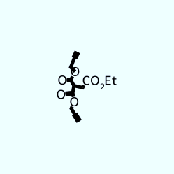 C#CCOC(=O)C(CC(=O)OCC)C(=O)OCC#C